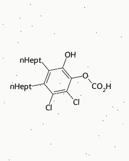 CCCCCCCc1c(O)c(OC(=O)O)c(Cl)c(Cl)c1CCCCCCC